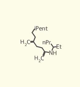 C=C(CCC(=C)NC(CC)CCC)CCC(C)CCC